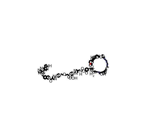 CO[C@H]1C[C@@H]2CC[C@@H](C)[C@@](O)(O2)C(=O)C(=O)N2CCCC[C@H]2C(=O)O[C@H]([C@H](N)C[C@@H]2CC[C@@H](OC(=O)NCc3cnc(N4CCN(C(=O)CCOCCN5CCN(c6ncc(C(=O)N7CCc8cc(Cn9nc(-c%10cnc%11[nH]ccc%11c%10)c%10c(N)ncnc%109)ccc8C7)cn6)CC5)[C@@H](C(=O)O)C4)nc3)[C@H](OC)C2)CC(=O)[C@H](C)/C=C(\C)[C@@H](O)[C@@H](OC)C(=O)[C@H](C)C[C@H](C)/C=C/C=C/C=C/1C